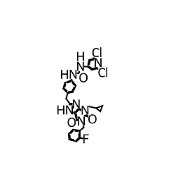 O=C(Nc1ccc(Cc2nc3c([nH]2)c(=O)n(Cc2ccccc2F)c(=O)n3CC2CC2)cc1)Nc1cc(Cl)nc(Cl)c1